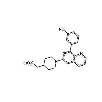 CCOC(=O)CC1CCN(c2cc3cccnc3c(-c3cccc(C#N)c3)n2)CC1